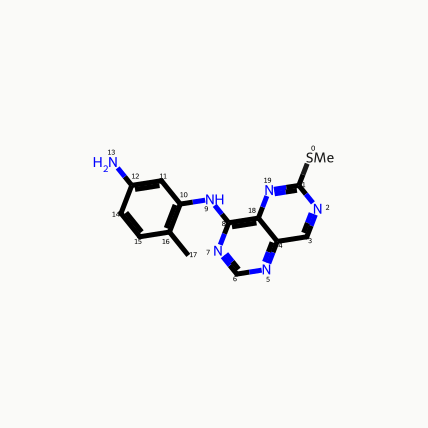 CSc1ncc2ncnc(Nc3cc(N)ccc3C)c2n1